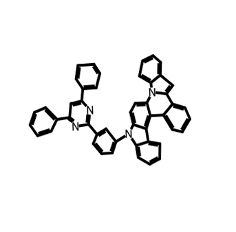 c1ccc(-c2cc(-c3ccccc3)nc(-c3cccc(-n4c5ccccc5c5c6c7ccccc7c7cc8ccccc8n7c6ccc54)c3)n2)cc1